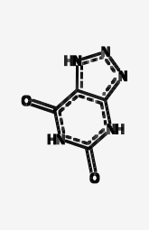 O=c1[nH]c(=O)c2[nH]nnc2[nH]1